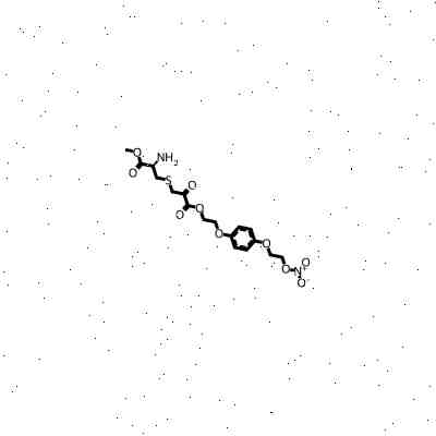 COC(=O)[C@@H](N)CSCC(=O)C(=O)OCCOc1ccc(OCCO[N+](=O)[O-])cc1